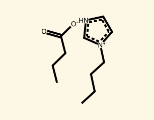 CCCC(=O)[O-].CCCC[n+]1cc[nH]c1